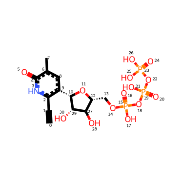 C#Cc1[nH]c(=O)c(C)cc1[C@@H]1O[C@H](COP(=O)(O)OP(=O)(O)OP(=O)(O)O)C(O)[C@@H]1O